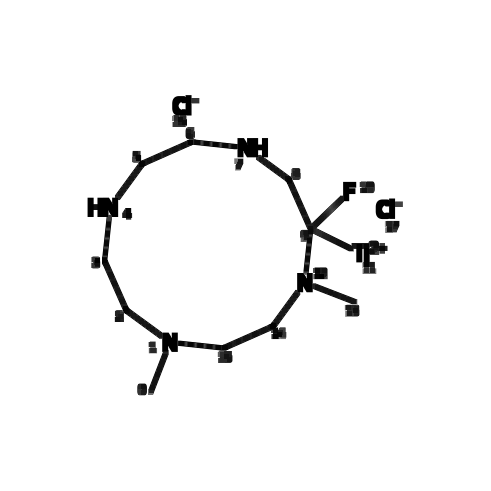 CN1CCNCCNC[C](F)([Ti+2])N(C)CC1.[Cl-].[Cl-]